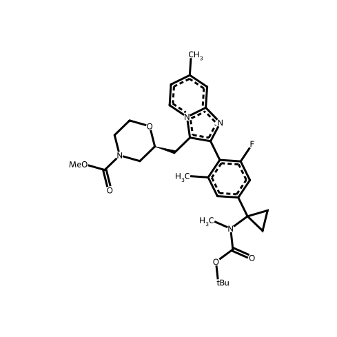 COC(=O)N1CCO[C@@H](Cc2c(-c3c(C)cc(C4(N(C)C(=O)OC(C)(C)C)CC4)cc3F)nc3cc(C)ccn23)C1